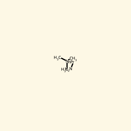 CCCN.CN(C)C